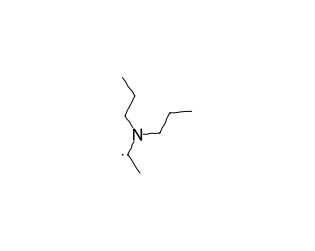 C[CH]N(CCC)CCC